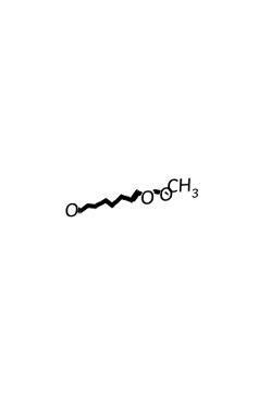 COCOC=CCCCCCC=O